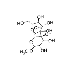 CO[C@H]1O[C@H](CO)[C@](O)([C@]2(O)CO[C@H](CO)[C@@H](O)[C@@H]2O)[C@H](O)[C@@H]1O